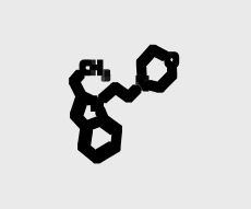 CCc1cc2ccccc2n1CCN1CCOCC1